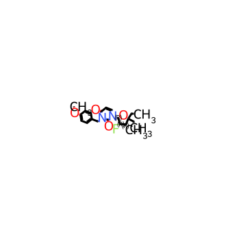 CCC1(CC)O[C@@H](n2ccc(=O)n(Cc3ccc(OC)cc3)c2=O)[C@H](F)[C@@H]1C